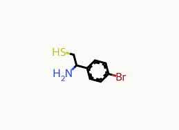 NC(CS)c1ccc(Br)cc1